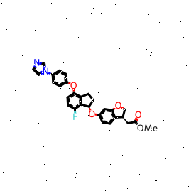 COC(=O)C[C@@H]1COc2cc(O[C@@H]3CCc4c(Oc5ccc(-n6ccnc6)cc5)ccc(F)c43)ccc21